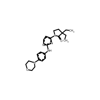 CCC1(CC)CCN(c2ccnc(Nc3ccc(N4CCOCC4)cc3)n2)C1=O